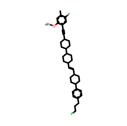 CCCOc1cc(C)c(F)cc1C#CC1CCC(C2CCC(/C=C/C3CCC(c4ccc(CCCF)cc4)CC3)CC2)CC1